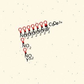 O=[N+]([O-])[O-].O=[N+]([O-])[O-].O=[N+]([O-])[O-].O=[N+]([O-])[O-].O=[N+]([O-])[O-].O=[N+]([O-])[O-].O=[N+]([O-])[O-].O=[N+]([O-])[O-].[Ce+3].[Co+2].[O]=[Zr].[Y+3]